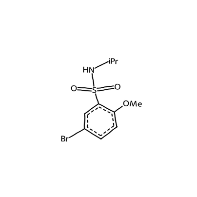 COc1ccc(Br)cc1S(=O)(=O)NC(C)C